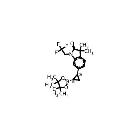 CC1(C)C(=O)N(CC(F)(F)F)c2cc([C@H]3C[C@@H]3B3OC(C)(C)C(C)(C)O3)ccc21